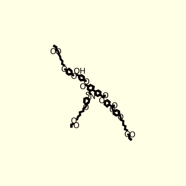 C=CC(=O)OCCCCCCOc1ccc(OC(=O)c2ccc(OC(=O)c3ccc4c(c3)nc(Sc3ccc(OCCCCCCOC(=O)C=C)cc3)c3cc(C(=O)Oc5ccc(C(O)Oc6ccc(OCCCCCCOC(=O)C=C)cc6)cc5)ccc34)cc2)cc1